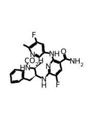 Cc1ncc(Nc2nc(N[C@@H](Cc3ccccc3)[C@H](C)NC(=O)O)c(F)cc2C(N)=O)cc1F